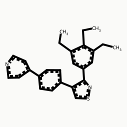 CCc1cc(-c2nscc2-c2ccc(-c3ccncc3)cc2)cc(CC)c1CC